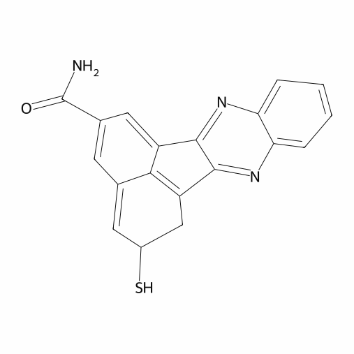 NC(=O)c1cc2c3c(c1)=CC(S)CC=3c1nc3ccccc3nc1-2